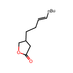 CCCC/C=C/CCC1COC(=O)C1